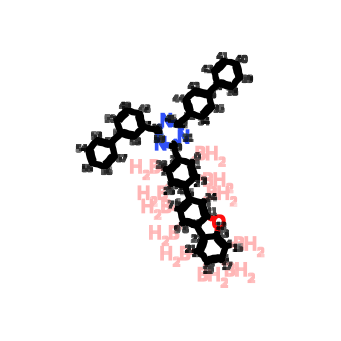 Bc1c(B)c(-c2c(B)c(B)c3c(oc4c(B)c(B)c(B)c(B)c43)c2B)c(B)c(B)c1-c1nc(-c2ccc(-c3ccccc3)cc2)nc(-c2cccc(-c3ccccc3)c2)n1